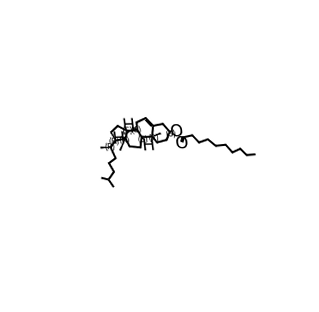 CCCCCCCCCC(=O)O[C@H]1CC[C@@]2(C)C(=CC[C@H]3[C@@H]4CC[C@H]([C@H](C)CCCC(C)C)[C@@]4(C)CC[C@@H]32)C1